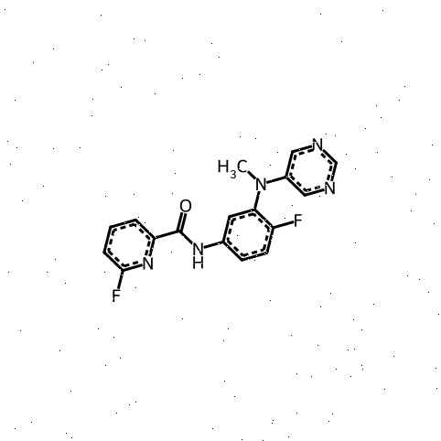 CN(c1cncnc1)c1cc(NC(=O)c2cccc(F)n2)ccc1F